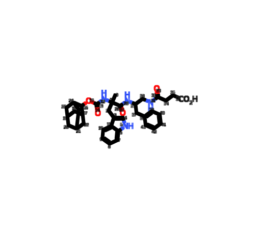 CC(Cc1c[nH]c2ccccc12)(NC(=O)OC1C2CC3CC(C2)CC1C3)C(=O)NC(CNC(=O)CCC(=O)O)Cc1ccccc1